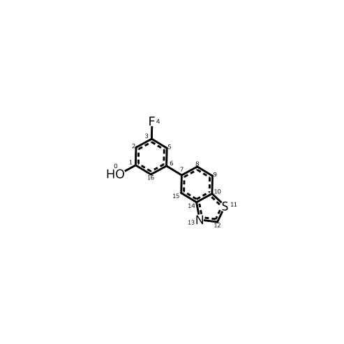 Oc1cc(F)cc(-c2ccc3scnc3c2)c1